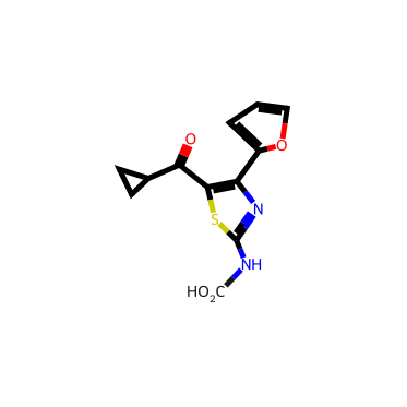 O=C(O)Nc1nc(-c2ccco2)c(C(=O)C2CC2)s1